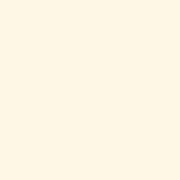 COP(=O)(OC)OC(=Cc1ccc(F)cc1)c1ccccc1